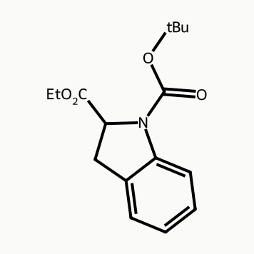 CCOC(=O)C1Cc2ccccc2N1C(=O)OC(C)(C)C